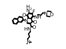 CN(C)CCCCNC(=O)c1cn2c3c(c(N)c(F)c(NCCCN4CCOCC4)c3c1=O)Oc1cc3ccccc3cc1-2